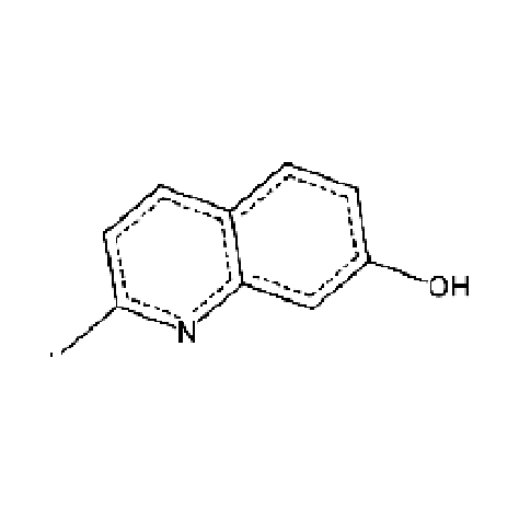 [CH2]c1ccc2ccc(O)cc2n1